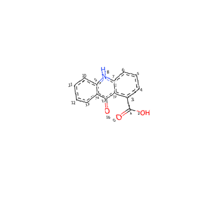 O=C(O)c1cccc2[nH]c3ccccc3c(=O)c12